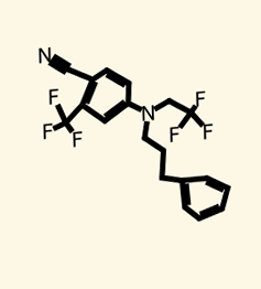 N#Cc1ccc(N(CCCc2ccccc2)CC(F)(F)F)cc1C(F)(F)F